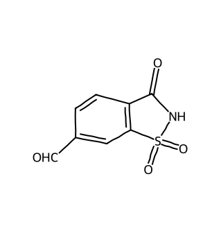 O=Cc1ccc2c(c1)S(=O)(=O)NC2=O